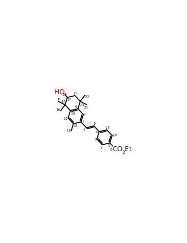 CCOC(=O)c1ccc(/C=C/c2cc3c(cc2C)C(C)(C)C(O)CC3(C)C)cc1